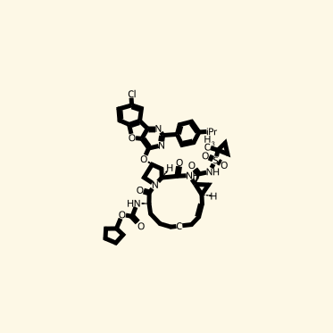 CC(C)c1ccc(-c2nc(O[C@@H]3C[C@H]4C(=O)N[C@]5(C(=O)NS(=O)(=O)C6(C)CC6)C[C@H]5/C=C\CCCCC[C@H](NC(=O)OC5CCCC5)C(=O)N4C3)c3oc4ccc(Cl)cc4c3n2)cc1